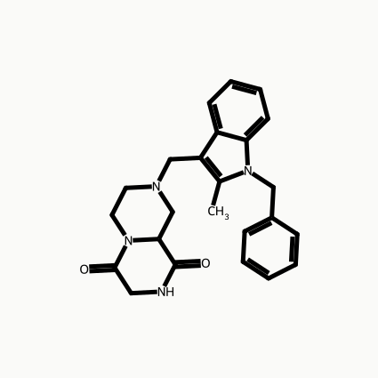 Cc1c(CN2CCN3C(=O)CNC(=O)C3C2)c2ccccc2n1Cc1ccccc1